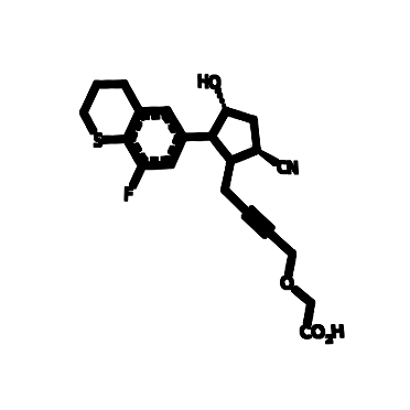 N#C[C@@H]1C[C@@H](O)C(c2cc(F)c3c(c2)CCCS3)C1CC#CCOCC(=O)O